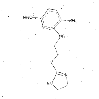 COc1ccc(N)c(NCCCC2=NCCN2)n1